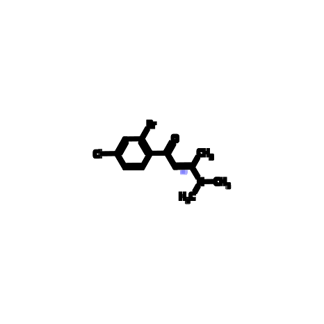 C/C(=C\C(=O)c1ccc(Cl)cc1Br)N(C)C